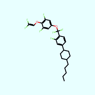 CCCCCC1CCC(c2ccc(C(F)(F)Oc3cc(F)c(OC=C(F)F)c(F)c3)c(F)c2)CC1